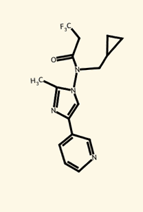 Cc1nc(-c2cccnc2)cn1N(CC1CC1)C(=O)CC(F)(F)F